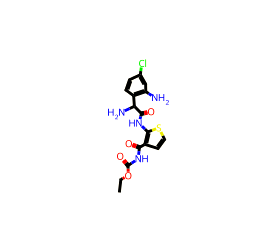 CCOC(=O)NC(=O)c1ccsc1NC(=O)C(N)c1ccc(Cl)cc1N